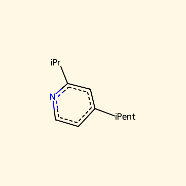 CCCC(C)c1ccnc(C(C)C)c1